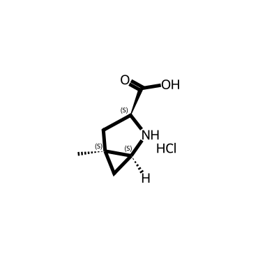 C[C@]12C[C@@H](C(=O)O)N[C@H]1C2.Cl